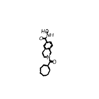 O=C(NO)c1ccc2c(c1)CCN(C(=O)C1CCCCCC1)C2